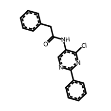 O=C(Cc1ccccc1)Nc1cnc(-c2ccccc2)nc1Cl